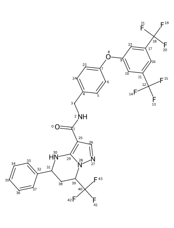 O=C(NCc1ccc(Oc2cc(C(F)(F)F)cc(C(F)(F)F)c2)cc1)c1cnn2c1NC(c1ccccc1)CC2C(F)(F)F